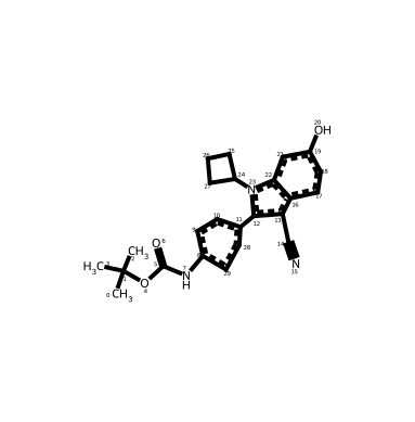 CC(C)(C)OC(=O)Nc1ccc(-c2c(C#N)c3ccc(O)cc3n2C2CCC2)cc1